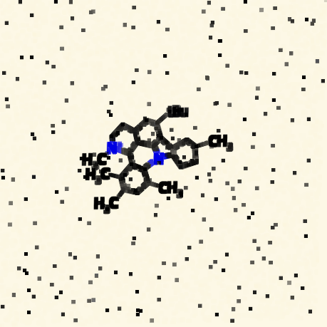 Cc1ccc2c(c1)c1c(C(C)(C)C)cc3cc[n+](C)c4c5c(C)c(C)cc(C)c5n2c1c34